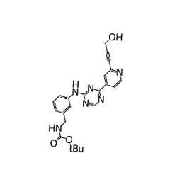 CC(C)(C)OC(=O)NCc1cccc(Nc2ncnc(-c3ccnc(C#CCO)c3)n2)c1